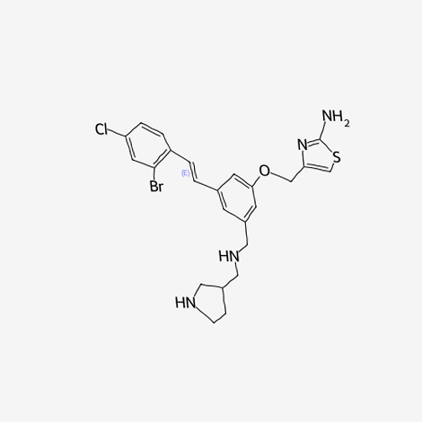 Nc1nc(COc2cc(/C=C/c3ccc(Cl)cc3Br)cc(CNCC3CCNC3)c2)cs1